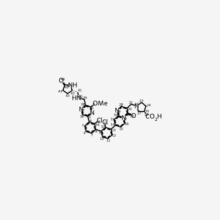 COc1nc(-c2cccc(-c3cccc(-c4ccn5c(=O)c(CN6CC[C@@H](C(=O)O)C6)cnc5c4)c3Cl)c2Cl)cnc1CNC[C@@H]1CCC(=O)N1